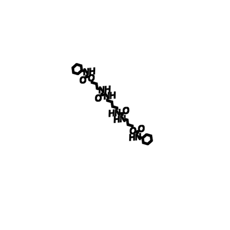 O=C(NCCCCNC(=O)NCCCOC(=O)NC1CCCCC1)NCCCOC(=O)NC1CCCCC1